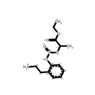 CCOC(=O)C(C)O[PH](=O)Oc1ccccc1CCN